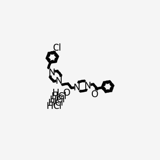 Cl.Cl.Cl.Cl.O.O=C(CN1CCN(CCCN2CCN(Cc3ccc(Cl)cc3)CC2)CC1)c1ccccc1